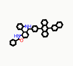 C1=C2OC(c3ccccc3)NC2C2C(=C1)C(c1ccc(-c3c4ccccc4c(-c4ccc5ccccc5c4)c4ccccc34)cc1)Nc1ccccc12